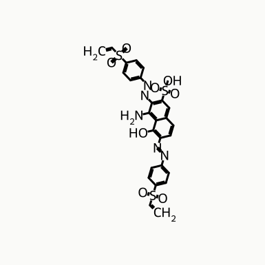 C=CS(=O)(=O)c1ccc(/N=N/c2ccc3cc(S(=O)(=O)O)c(/N=N/c4ccc(S(=O)(=O)C=C)cc4)c(N)c3c2O)cc1